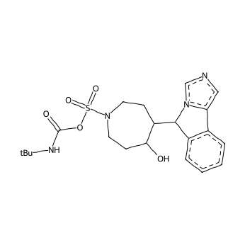 CC(C)(C)NC(=O)OS(=O)(=O)N1CCC(O)C(C2c3ccccc3-c3cncn32)CC1